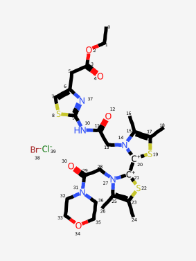 CCOC(=O)Cc1csc(NC(=O)Cn2c(C)c(C)s[c+]2-[c+]2sc(C)c(C)n2CC(=O)N2CCOCC2)n1.[Br-].[Cl-]